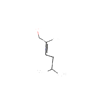 CCCCC(C/C=C(\C)CO)OC